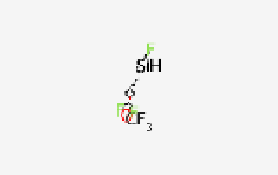 FCCCC[Si@H]1CC[C@H](CCCC[C@H]2CC[C@H](c3cc(F)c(OC(F)(F)F)c(F)c3)CC2)CC1